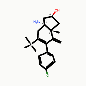 C=C1C(c2ccc(Cl)cc2)=C([Si](C)(C)C)C[C@@]2(N)C[C@@H](O)C[C@H]12